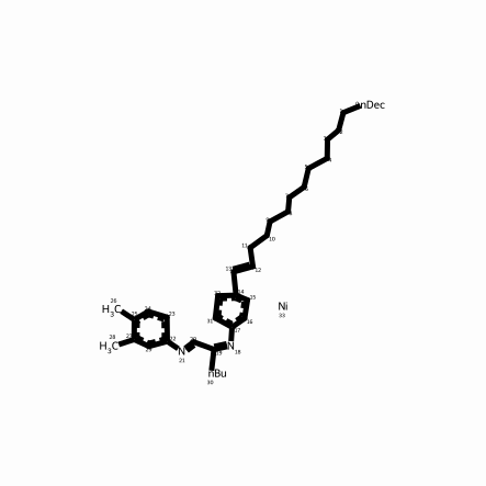 CCCCCCCCCCCCCCCCCCCCCC=Cc1ccc(N=C(C=Nc2ccc(C)c(C)c2)CCCC)cc1.[Ni]